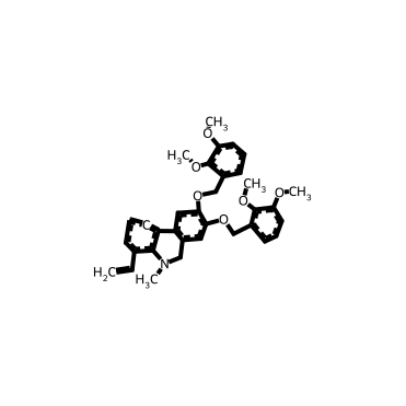 C=Cc1cccc2c1N(C)Cc1cc(OCc3cccc(OC)c3OC)c(OCc3cccc(OC)c3OC)cc1-2